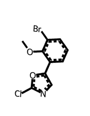 COc1c(Br)cccc1-c1cnc(Cl)o1